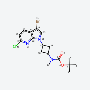 CN(C(=O)OC(C)(C)C)C1CC(n2cc(Br)c3ccc(Cl)nc32)C1